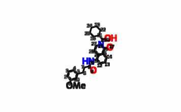 COc1cccc(CCC(=O)Nc2cccc3c(=O)n(C(O)C4CCCCC4)ccc23)c1